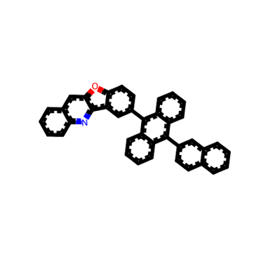 c1ccc2cc(-c3c4ccccc4c(-c4ccc5oc6cc7ccccc7nc6c5c4)c4ccccc34)ccc2c1